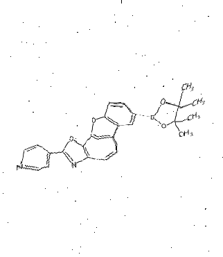 CC1(C)OB(c2ccc3oc4c(ccc5nc(-c6ccncc6)oc54)c3c2)OC1(C)C